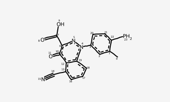 Cc1cc(-n2nc(C(=O)O)c(=O)c3c(C#N)cccc32)ccc1P